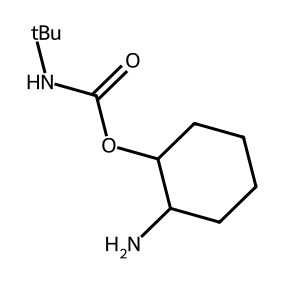 CC(C)(C)NC(=O)OC1CCCCC1N